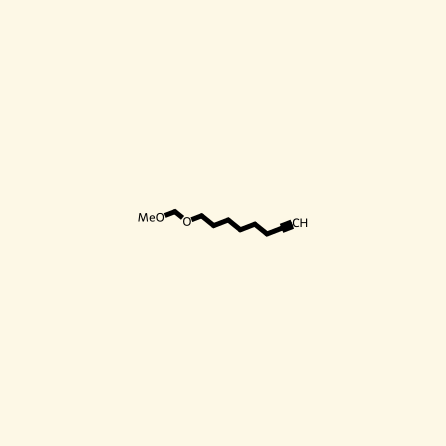 C#CCCCCCCOCOC